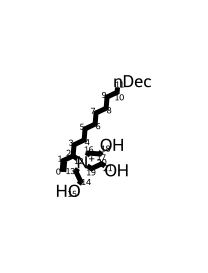 C=CC(CCCCCCCCCCCCCCCCCC)[N+](CCO)(CCO)CCO